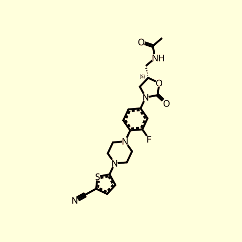 CC(=O)NC[C@H]1CN(c2ccc(N3CCN(c4ccc(C#N)s4)CC3)c(F)c2)C(=O)O1